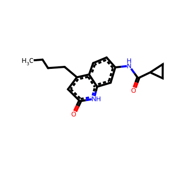 CCCCc1cc(=O)[nH]c2cc(NC(=O)C3CC3)ccc12